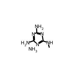 CNc1nc(N)nc(N)n1.N